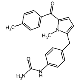 Cc1ccc(C(=O)c2ccc(Cc3ccc(NC(N)=O)cc3)n2C)cc1